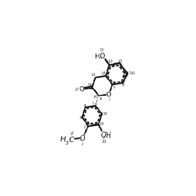 COc1ccc([C@H]2Oc3cccc(O)c3CC2=O)cc1O